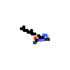 CCC(=O)NC(CSC/C=C(\C)CCC=C(C)C)/C(N)=N/C#N